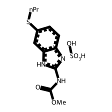 CCCSc1ccc2nc(NC(=O)OC)[nH]c2c1.O=S(=O)(O)O